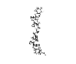 Cc1ccc(CNC(=O)c2cn(CC(F)CCn3ccc(NC(=O)CC4CCCCC4)cc3=O)nn2)cn1